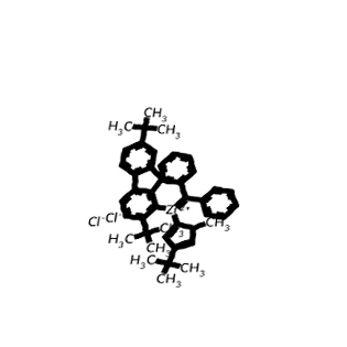 CC1C=C(C(C)(C)C)C=[C]1[Zr+2](=[C](c1ccccc1)c1ccccc1)[c]1c(C(C)(C)C)ccc2c1Cc1cc(C(C)(C)C)ccc1-2.[Cl-].[Cl-]